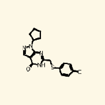 O=c1[nH]c(CSc2ccc(Cl)cc2)nc2c1cnn2C1CCCC1